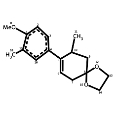 COc1ccc(C2=CCC3(CC2C)OCCO3)cc1C